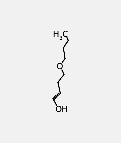 CCCCOCCC=CO